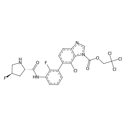 O=C(Nc1cccc(-c2ccc3ncn(C(=O)OCC(Cl)(Cl)Cl)c3c2Cl)c1F)[C@@H]1C[C@@H](F)CN1